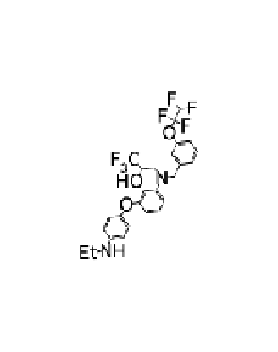 CCNc1ccc(Oc2cccc(N(Cc3cccc(OC(F)(F)C(F)F)c3)CC(O)C(F)(F)F)c2)cc1